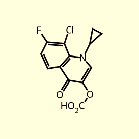 O=C(O)Oc1cn(C2CC2)c2c(Cl)c(F)ccc2c1=O